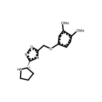 COc1ccc(OCc2nc([C@@H]3CCCN3)no2)cc1OC